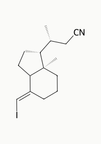 C[C@H](CC#N)[C@H]1CCC2C(=CI)CCC[C@@]21C